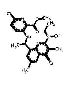 CC[S+]([O-])c1oc2c(C(C)Nc3ccc(Cl)nc3C(=O)OC)cc(C)cc2c(=O)c1C